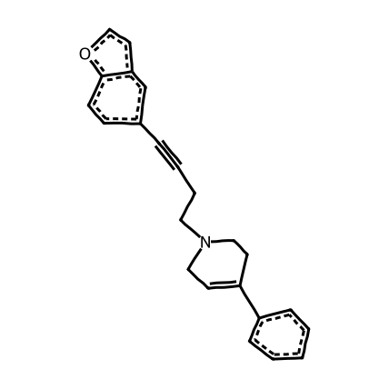 C(#Cc1ccc2occc2c1)CCN1CC=C(c2ccccc2)CC1